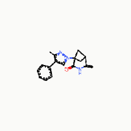 C=C1NC(=O)C2(n3cc(-c4ccccc4)c(C)n3)CC1C2